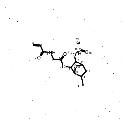 C=CC(=O)NCC(=O)OC1C2OC(CC2C)C1O[SH](=O)=O